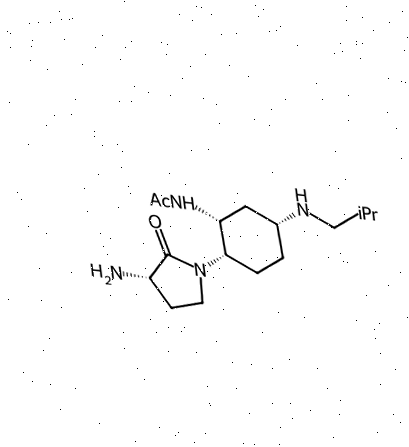 CC(=O)N[C@@H]1C[C@H](NCC(C)C)CC[C@@H]1N1CC[C@H](N)C1=O